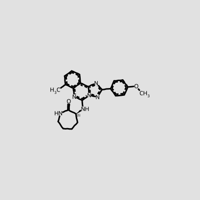 COc1ccc(-c2nc3c4cccc(C)c4nc(N[C@H]4CCCCNC4=O)n3n2)cc1